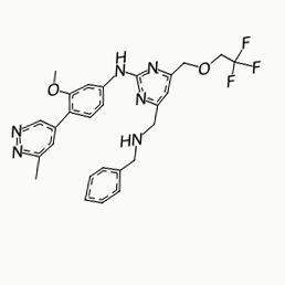 COc1cc(Nc2nc(CNCc3ccccc3)cc(COCC(F)(F)F)n2)ccc1-c1cnnc(C)c1